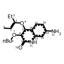 CC=C(CC)Oc1c(OCCCC)c(=O)[nH]c2cc(N)ccc12